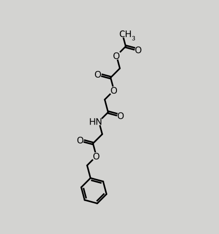 CC(=O)OCC(=O)OCC(=O)NCC(=O)OCc1ccccc1